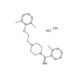 Cc1ccccc1C(=N)N1CCN(CCOc2c(C)cccc2C)CC1.Cl.Cl